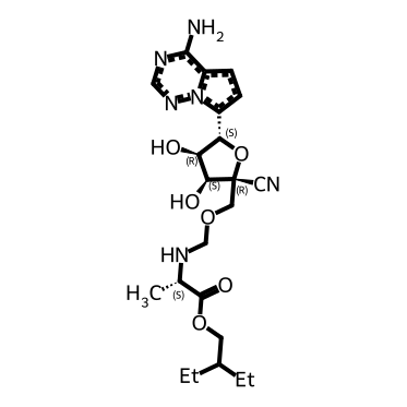 CCC(CC)COC(=O)[C@H](C)NCOC[C@@]1(C#N)O[C@@H](c2ccc3c(N)ncnn23)[C@H](O)[C@@H]1O